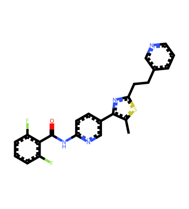 Cc1sc(CCc2cccnc2)nc1-c1ccc(NC(=O)c2c(F)cccc2F)nc1